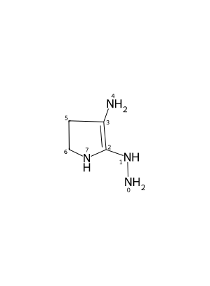 NNC1=C(N)CCN1